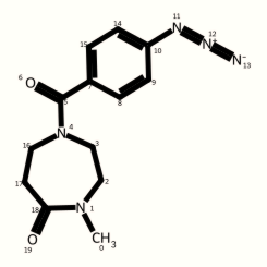 CN1CCN(C(=O)c2ccc(N=[N+]=[N-])cc2)CCC1=O